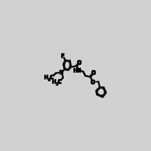 CCN(CC)c1cc(F)cc(C(=O)NCCC(=O)OCc2ccccc2)c1